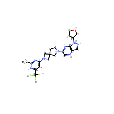 Cc1nc(N2CC3(CCN(c4cnc5cnn(C6CCOC6)c5n4)C3)C2)cc(C(F)(F)F)n1